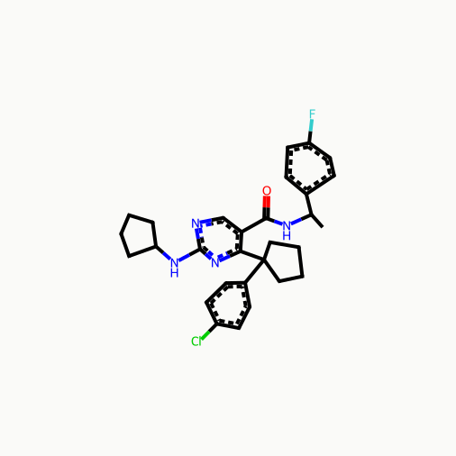 CC(NC(=O)c1cnc(NC2CCCC2)nc1C1(c2ccc(Cl)cc2)CCCC1)c1ccc(F)cc1